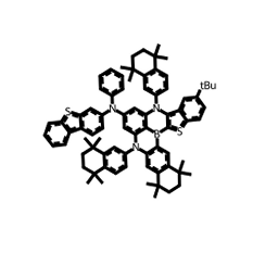 CC(C)(C)c1ccc2sc3c(c2c1)N(c1ccc2c(c1)C(C)(C)CCC2(C)C)c1cc(N(c2ccccc2)c2ccc4c(c2)sc2ccccc24)cc2c1B3c1cc3c(cc1N2c1ccc2c(c1)C(C)(C)CCC2(C)C)C(C)(C)CCC3(C)C